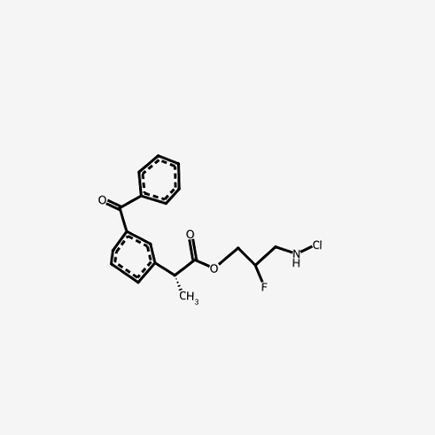 C[C@@H](C(=O)OCC(F)CNCl)c1cccc(C(=O)c2ccccc2)c1